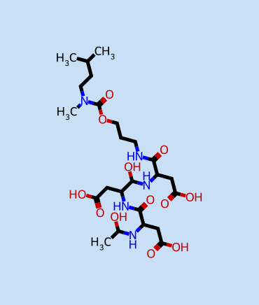 CC(C)CCN(C)C(=O)OCCCNC(=O)C(CC(=O)O)NC(O)C(CC(=O)O)NC(=O)C(CC(=O)O)NC(C)O